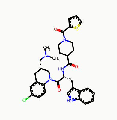 CN(C)C[C@H]1Cc2cc(Cl)ccc2N(C(=O)[C@@H](Cc2c[nH]c3ccccc23)NC(=O)C2CCN(C(=O)c3cccs3)CC2)C1